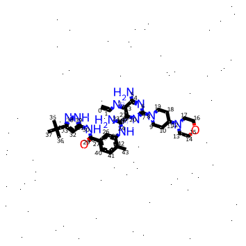 C=C/N=C1/C(N)=NC(N2CCC(N3CCOCC3)CC2)=N/C1=C(/N)Nc1cc(C(=O)Nc2cc(C(C)(C)C)n[nH]2)ccc1C